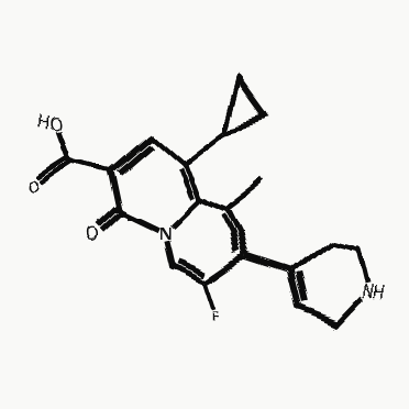 Cc1c(C2=CCNCC2)c(F)cn2c(=O)c(C(=O)O)cc(C3CC3)c12